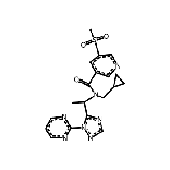 CC(c1ncnn1-c1ncccn1)N(CC1CC1)C(=O)c1cncc(S(C)(=O)=O)c1